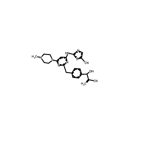 C=C(C#N)C(O)c1ccc(Cc2nc(Nc3ncc(C#N)s3)cc(N3CCN(C)CC3)n2)cc1